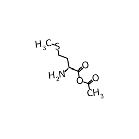 CSCC[C@H](N)C(=O)OC(C)=O